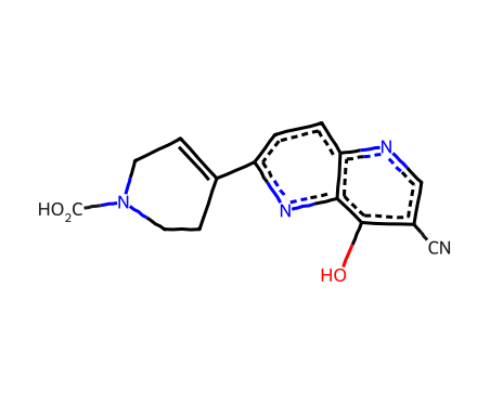 N#Cc1cnc2ccc(C3=CCN(C(=O)O)CC3)nc2c1O